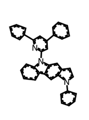 c1ccc(-c2cc(-c3ccccc3)nc(-n3c4ccccc4c4cc5c(ccn5-c5ccccc5)cc43)c2)cc1